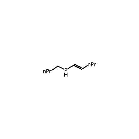 CCCC=CPCCCC